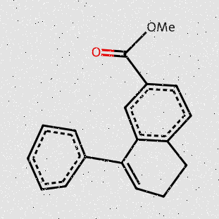 COC(=O)c1ccc2c(c1)C(c1ccccc1)=CCC2